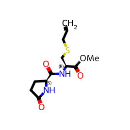 C=CCSC[C@H](NC(=O)[C@@H]1CCC(=O)N1)C(=O)OC